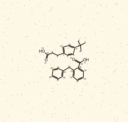 CC(C)(C)c1ccc(CCC(=O)O)cc1.O=C(O)c1ccccc1Cc1ccccc1